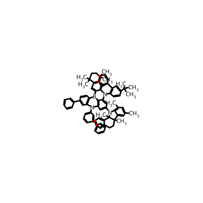 Cc1cc(C)c2c(c1)C1(C)CCc3ccccc3C1(C)N2c1cc2c3c(c1)N(c1ccc(C(C)(C)C)cc1-c1ccccc1)c1cc4c(cc1B3c1ccc(-c3ccccc3)cc1N2c1cccc(-c2ccccc2)c1)C(C)(C)CCC4(C)C